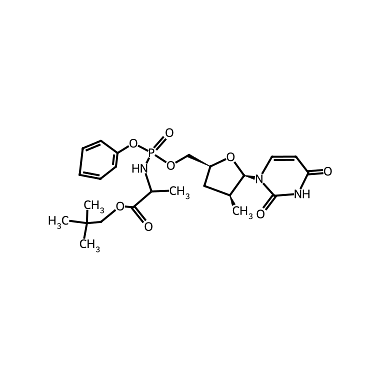 CC(NP(=O)(OC[C@@H]1C[C@H](C)[C@H](n2ccc(=O)[nH]c2=O)O1)Oc1ccccc1)C(=O)OCC(C)(C)C